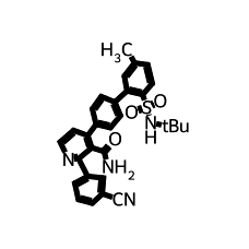 Cc1ccc(S(=O)(=O)NC(C)(C)C)c(-c2ccc(-c3ccnc(-c4cccc(C#N)c4)c3C(N)=O)cc2)c1